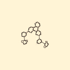 c1cc(-c2ccc3c4ccccc4c4ccc(-c5cccc(-c6ncco6)c5)cc4c3c2)cc(-c2ncco2)c1